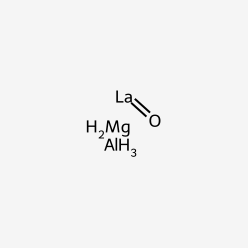 [AlH3].[MgH2].[O]=[La]